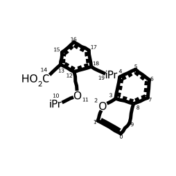 C1=COc2ccccc2C1.CC(C)Oc1c(C(=O)O)cccc1C(C)C